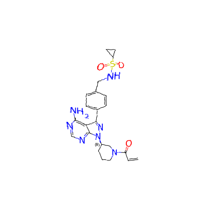 C=CC(=O)N1CCC[C@@H](n2nc(-c3ccc(CNS(=O)(=O)C4CC4)cc3)c3c(N)ncnc32)C1